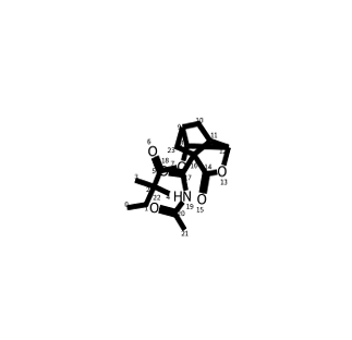 CCC(C)(C)C(=O)OC1C2CC3C1OC(=O)C3(C(=O)NC(C)=O)C2